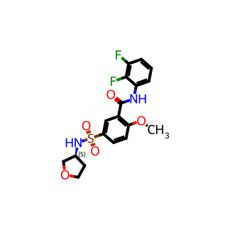 COc1ccc(S(=O)(=O)N[C@H]2CCOC2)cc1C(=O)Nc1cccc(F)c1F